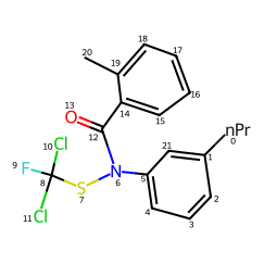 CCCc1cccc(N(SC(F)(Cl)Cl)C(=O)c2ccccc2C)c1